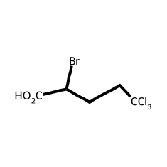 O=C(O)C(Br)CCC(Cl)(Cl)Cl